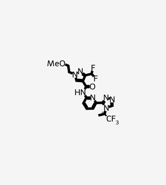 COCCn1cc(C(=O)Nc2cccc(-c3nncn3[C@H](C)C(F)(F)F)n2)c(C(F)F)n1